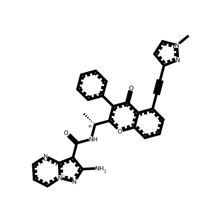 C[C@@H](NC(=O)c1c(N)nn2cccnc12)c1oc2cccc(C#Cc3ccn(C)n3)c2c(=O)c1-c1ccccc1